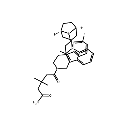 Cc1nc2ccccc2n1[C@H]1C[C@H]2CC[C@@H](C1)N2CCC1(c2cccc(F)c2)CCN(C(=O)CC(C)(C)CC(N)=O)CC1